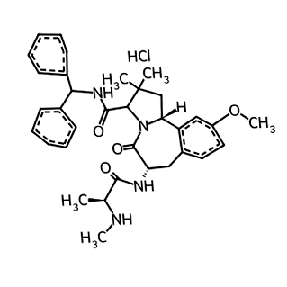 CN[C@@H](C)C(=O)N[C@H]1Cc2ccc(OC)cc2[C@H]2CC(C)(C)C(C(=O)NC(c3ccccc3)c3ccccc3)N2C1=O.Cl